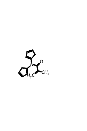 C=C(C)C(=O)N(C1=CC=CC1)C1=CC=CC1